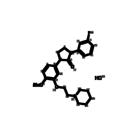 COc1ccc(C2CCN(c3cccc(F)c3)C2=O)cc1OCCN1CCCCC1.Cl